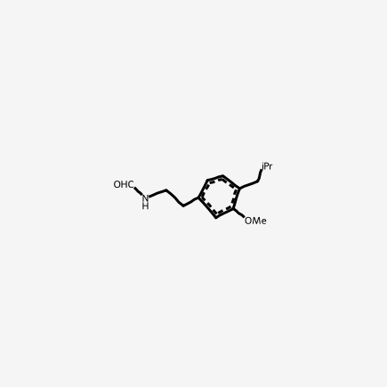 COc1cc(CCNC=O)ccc1CC(C)C